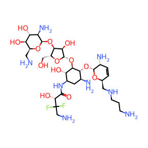 NCCCNC[C@@H]1C=C[C@@H](N)[C@@H](O[C@H]2[C@H](O[C@@H]3O[C@H](CO)[C@@H](O[C@H]4O[C@@H](CN)[C@@H](O)[C@H](O)[C@H]4N)[C@H]3O)[C@@H](O)[C@H](NC(=O)[C@@H](O)C(F)(F)CN)C[C@@H]2N)O1